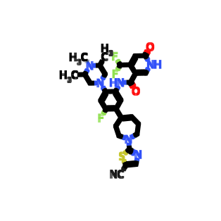 CC1CN(c2cc(F)c(C3=CCCN(c4ncc(C#N)s4)CC3)cc2NC(=O)c2c[nH]c(=O)cc2C(F)F)CC(C)N1C